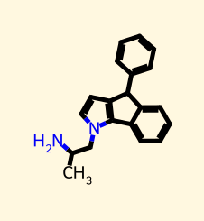 CC(N)Cn1ccc2c1-c1ccccc1C2c1ccccc1